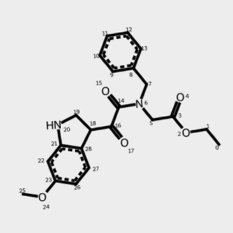 CCOC(=O)CN(Cc1ccccc1)C(=O)C(=O)C1CNc2cc(OC)ccc21